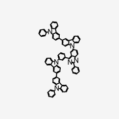 c1ccc(-c2nc(-c3cccc(-n4c5ccccc5c5cc(-c6ccc7c(c6)c6ccccc6n7-c6ccccc6)ccc54)c3)c3cc(-n4c5ccccc5c5cc(-c6ccc7c(c6)c6ccccc6n7-c6ccccc6)ccc54)ccc3n2)cc1